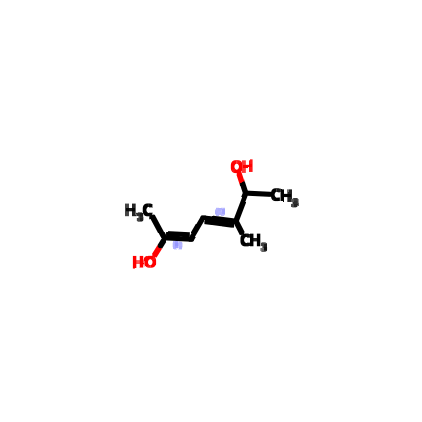 C/C(O)=C\C=C(/C)C(C)O